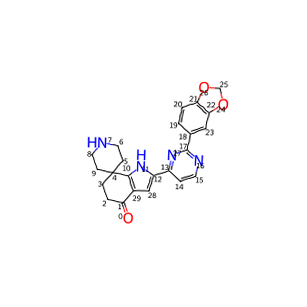 O=C1CCC2(CCNCC2)c2[nH]c(-c3ccnc(-c4ccc5c(c4)OCO5)n3)cc21